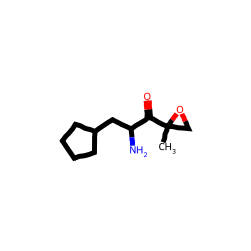 CC1(C(=O)C(N)CC2CCCC2)CO1